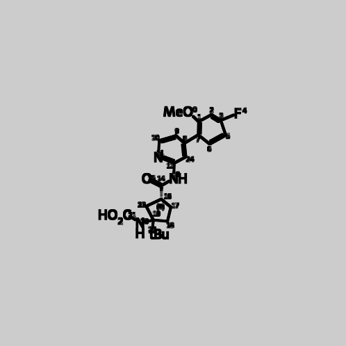 COc1cc(F)ccc1-c1ccnc(NC(=O)[C@@H]2CCC(NC(=O)O)(C(C)(C)C)C2)c1